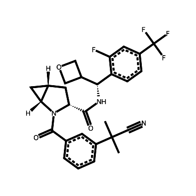 CC(C)(C#N)c1cccc(C(=O)N2[C@@H](C(=O)N[C@@H](c3ccc(C(F)(F)F)cc3F)C3COC3)C[C@H]3C[C@H]32)c1